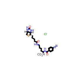 N#[N+]c1ccc(C(=O)NC(CCCCNC(=O)CCCC[C@@H]2SC[C@@H]3NC(=O)N[C@@H]32)C(=O)O)cc1.[Cl-]